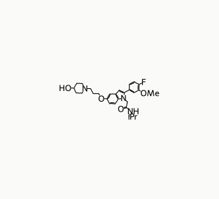 COc1cc(-c2cc3cc(OCCCN4CCC(O)CC4)ccc3n2CC(=O)NC(C)C)ccc1F